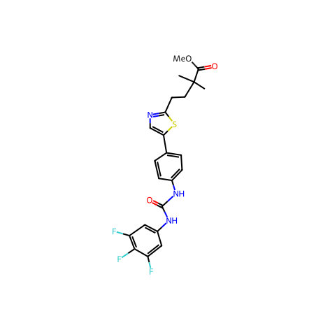 COC(=O)C(C)(C)CCc1ncc(-c2ccc(NC(=O)Nc3cc(F)c(F)c(F)c3)cc2)s1